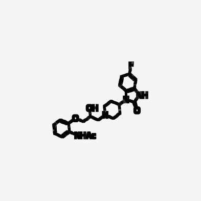 CC(=O)Nc1ccccc1OCC(O)CN1CCC(n2c(=O)[nH]c3cc(F)ccc32)CC1